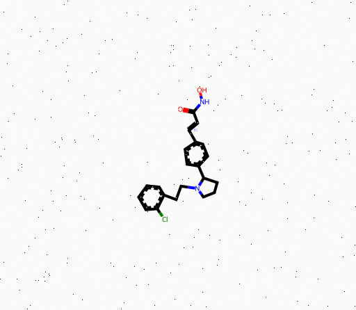 O=C(/C=C/c1ccc(C2CCCN2CCc2ccccc2Cl)cc1)NO